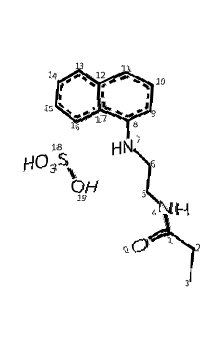 O=C(CI)NCCNc1cccc2ccccc12.O=S(=O)(O)O